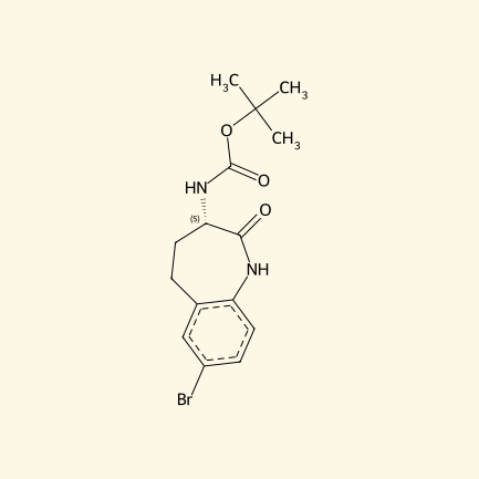 CC(C)(C)OC(=O)N[C@H]1CCc2cc(Br)ccc2NC1=O